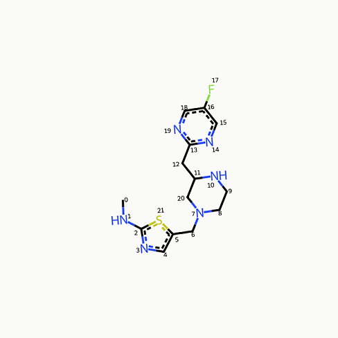 CNc1ncc(CN2CCNC(Cc3ncc(F)cn3)C2)s1